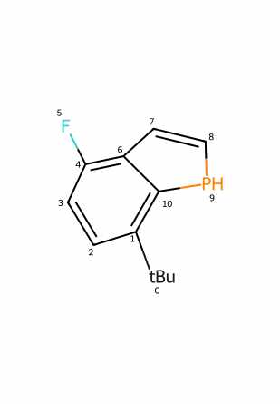 CC(C)(C)c1ccc(F)c2cc[pH]c12